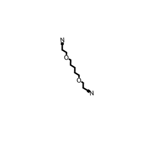 N#CCCOCCCCCOCCC#N